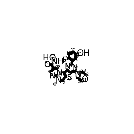 CN(Cc1cc2nc(-c3cc(O)ccc3F)nc(N3CCOCC3)c2s1)c1ncc(C(=O)NO)cn1